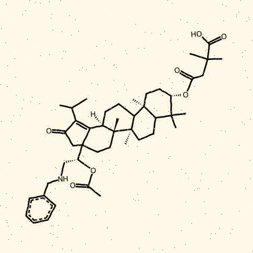 CC(=O)O[C@H](CNCc1ccccc1)C12CC[C@]3(C)[C@H](CCC4[C@@]5(C)CC[C@H](OC(=O)CC(C)(C)C(=O)O)C(C)(C)C5CC[C@]43C)C1=C(C(C)C)C(=O)C2